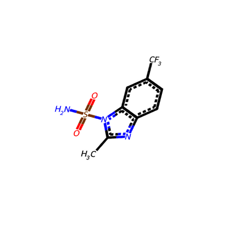 Cc1nc2ccc(C(F)(F)F)cc2n1S(N)(=O)=O